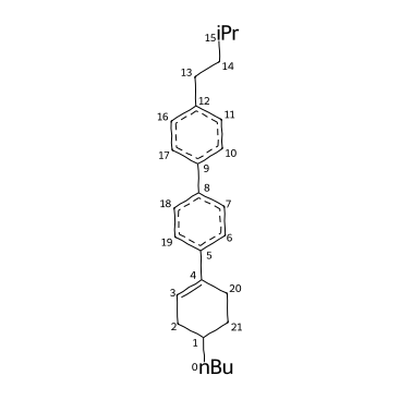 CCCCC1CC=C(c2ccc(-c3ccc(CCC(C)C)cc3)cc2)CC1